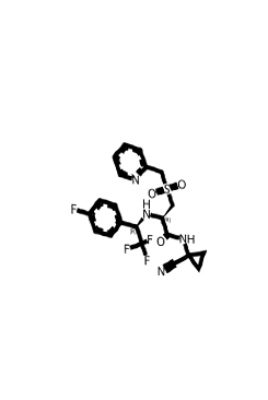 N#CC1(NC(=O)[C@H](CS(=O)(=O)Cc2ccccn2)N[C@H](c2ccc(F)cc2)C(F)(F)F)CC1